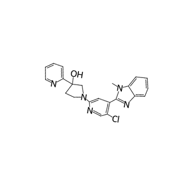 Cn1c(-c2cc(N3CCC(O)(c4ccccn4)C3)ncc2Cl)nc2ccccc21